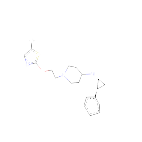 Cc1cnc(OCCN2CCC(N[C@@H]3C[C@H]3c3ccccc3)CC2)s1